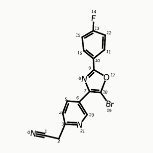 N#CCc1ccc(-c2nc(-c3ccc(F)cc3)oc2Br)cn1